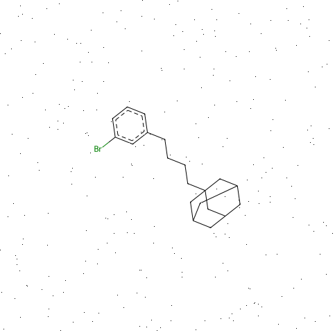 Brc1cccc(CCCCC23CC4CC(CC(C4)C2)C3)c1